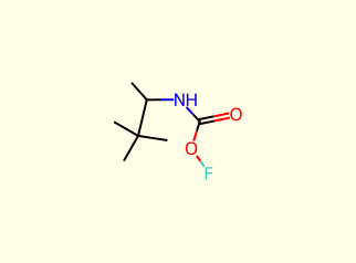 CC(NC(=O)OF)C(C)(C)C